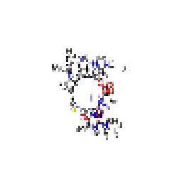 CCn1c(-c2cc(N3CCN(C)CC3)cnc2[C@H](C)OC)c2c3cc(ccc31)-c1csc(n1)C[C@H](NC(=O)[C@H](C(C)C)N(C)C(=O)N(C)C)C(=O)N1CCC[C@@](O)(N1)C(=O)OCC(C)(C)C2